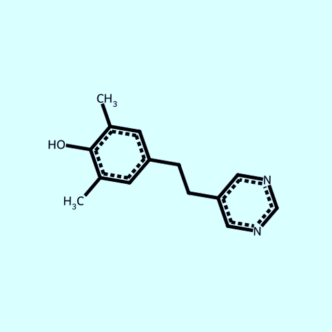 Cc1cc(CCc2cncnc2)cc(C)c1O